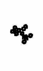 c1ccc(-c2cc(-c3ccc(-c4cc5c(cc4-c4ccc6ccccc6c4)-c4ccccc4C54c5ccccc5-c5ccccc54)cc3)nc(-c3ccccc3)n2)cc1